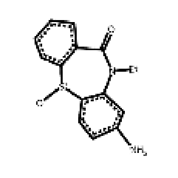 CCN1C(=O)c2ccccc2[S+]([O-])c2ccc(N)cc21